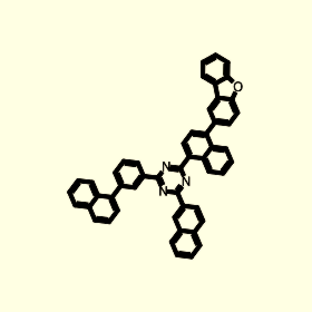 c1cc(-c2nc(-c3ccc4ccccc4c3)nc(-c3ccc(-c4ccc5oc6ccccc6c5c4)c4ccccc34)n2)cc(-c2cccc3ccccc23)c1